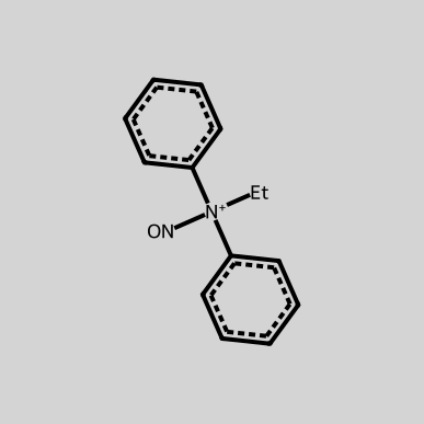 CC[N+](N=O)(c1ccccc1)c1ccccc1